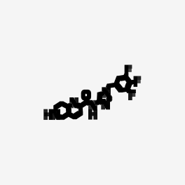 O=C(Nc1cn(Cc2cc(F)c(F)c(F)c2)cn1)c1ccc2c(n1)CCNC2